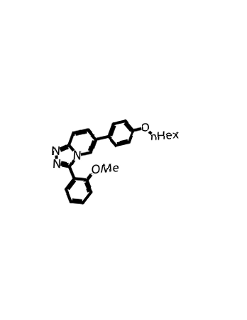 CCCCCCOc1ccc(-c2ccc3nnc(-c4ccccc4OC)n3c2)cc1